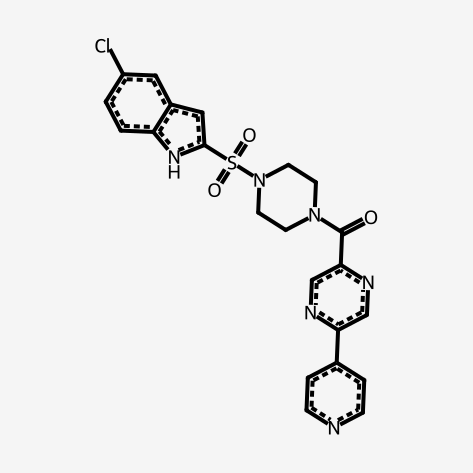 O=C(c1cnc(-c2ccncc2)cn1)N1CCN(S(=O)(=O)c2cc3cc(Cl)ccc3[nH]2)CC1